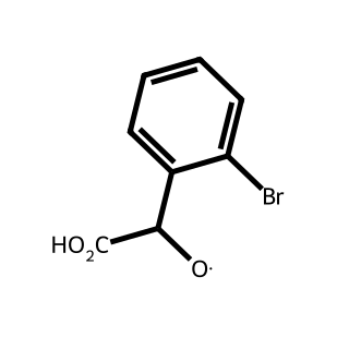 [O]C(C(=O)O)c1ccccc1Br